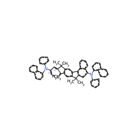 C=C1/C(=C\C(=C/C)N(c2ccccc2)c2cccc3ccccc23)C(C)(C)c2cc3c(cc21)C(C)(C)c1cc(N(c2ccccc2)c2cccc4ccccc24)c2ccccc2c1-3